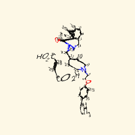 Cc1ccc(OCCN2CCC(CN3Cc4ccccc4C3=O)CC2)cc1.O=C(O)C=CC(=O)O